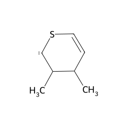 CC1[C]SC=CC1C